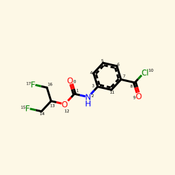 O=C(Nc1cccc(C(=O)Cl)c1)OC(CF)CF